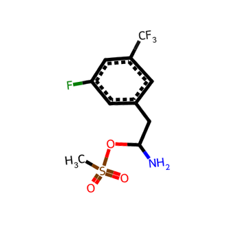 CS(=O)(=O)OC(N)Cc1cc(F)cc(C(F)(F)F)c1